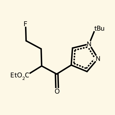 CCOC(=O)C(CCF)C(=O)c1cnn(C(C)(C)C)c1